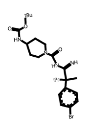 CC(C)C(C)(C(=N)NC(=O)N1CCC(NC(=O)OC(C)(C)C)CC1)c1ccc(Br)cc1